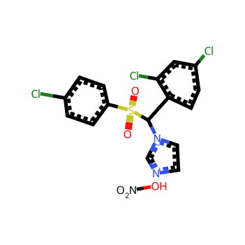 O=S(=O)(c1ccc(Cl)cc1)C(c1ccc(Cl)cc1Cl)n1ccnc1.O=[N+]([O-])O